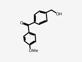 COc1ccc(C(=O)c2ccc(CO)cc2)cc1